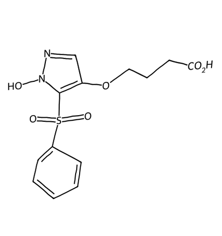 O=C(O)CCCOc1cnn(O)c1S(=O)(=O)c1ccccc1